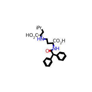 CC(C)C[C@H](NCCC(NC(=O)C(c1ccccc1)c1ccccc1)C(=O)O)C(=O)O